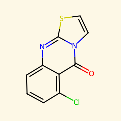 O=c1c2c(Cl)cccc2nc2sccn12